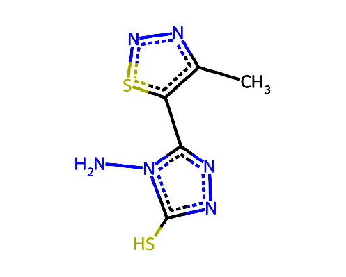 Cc1nnsc1-c1nnc(S)n1N